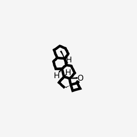 C[C@]12CCCCC1CC[C@@H]1[C@@H]2CC[C@@]2(C)[C@H]1CC[C@]21CCC1=O